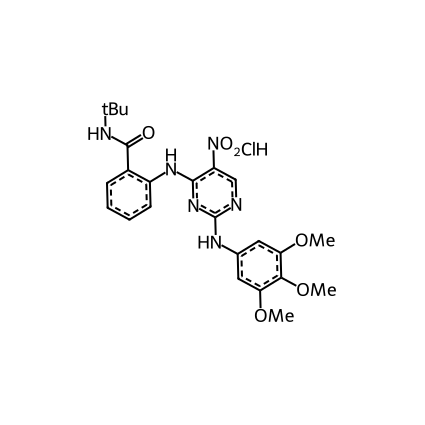 COc1cc(Nc2ncc([N+](=O)[O-])c(Nc3ccccc3C(=O)NC(C)(C)C)n2)cc(OC)c1OC.Cl